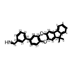 CC1(C)c2ccccc2-c2cc3c(cc21)Oc1ccc(-c2cccc(C=N)c2)cc1O3